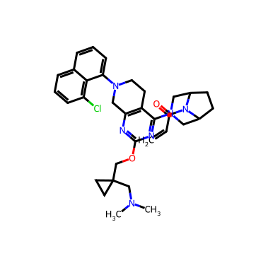 C=CC(=O)N1C2CCC1CN(c1nc(OCC3(CN(C)C)CC3)nc3c1CCN(c1cccc4cccc(Cl)c14)C3)C2